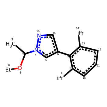 CCOC(C)n1cc(-c2c(C(C)C)cccc2C(C)C)cn1